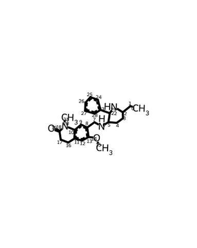 CCC1CCC(NCc2cc3c(cc2OC)CCC(=O)N3C)C(c2ccccc2)N1